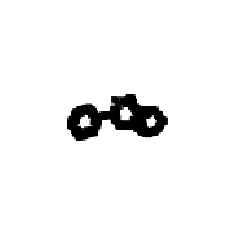 c1ccc(-c2cc3c(cn2)C2CCC3C2)cc1